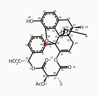 CC(=O)O[C@@H](C(=O)O[C@H](C(=O)O)c1ccccc1)[C@@H](C)C(=O)OC1=CC[C@@]2(O)[C@H]3Cc4ccc(O)c5c4[C@@]2(CCN3C)[C@H]1O5